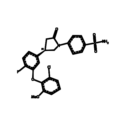 COc1cccc(Cl)c1Oc1cc([C@H]2CC(=O)N(c3ccc(S(N)(=O)=O)cc3)C2)ccc1F